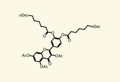 CCCCCCCCCCCCCCCC(=O)Oc1ccc(-c2oc3cc(OC(C)=O)cc(OC(C)=O)c3c(=O)c2OC(C)=O)cc1OC(=O)CCCCCCCCCCCCCCC